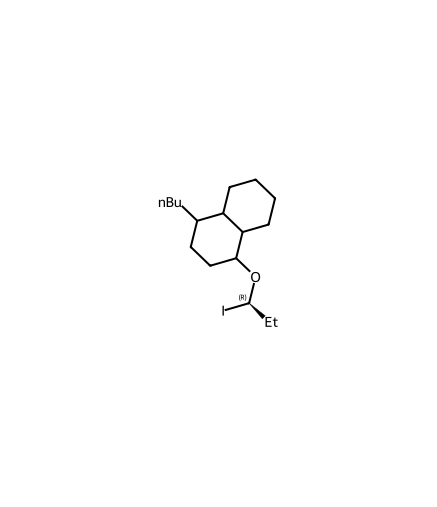 CCCCC1CCC(O[C@H](I)CC)C2CCCCC12